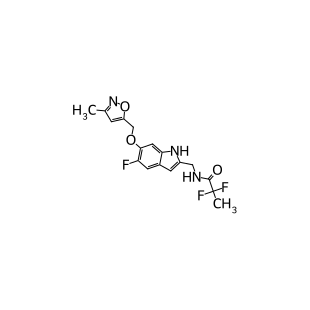 Cc1cc(COc2cc3[nH]c(CNC(=O)C(C)(F)F)cc3cc2F)on1